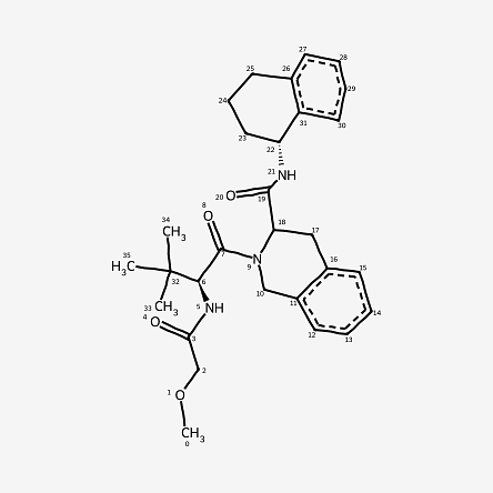 COCC(=O)N[C@H](C(=O)N1Cc2ccccc2CC1C(=O)N[C@@H]1CCCc2ccccc21)C(C)(C)C